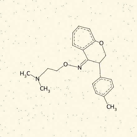 Cc1ccc(C2COc3ccccc3C2=NOCCN(C)C)cc1